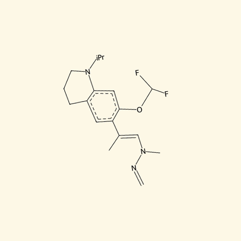 C=NN(C)/C=C(\C)c1cc2c(cc1OC(F)F)N(C(C)C)CCC2